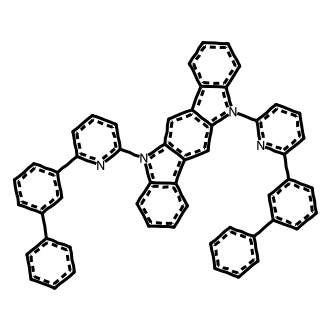 c1ccc(-c2cccc(-c3cccc(-n4c5ccccc5c5cc6c(cc54)c4ccccc4n6-c4cccc(-c5cccc(-c6ccccc6)c5)n4)n3)c2)cc1